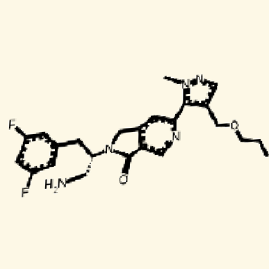 CCCOCc1cnn(C)c1-c1cc2c(cn1)C(=O)N([C@H](CN)Cc1cc(F)cc(F)c1)C2